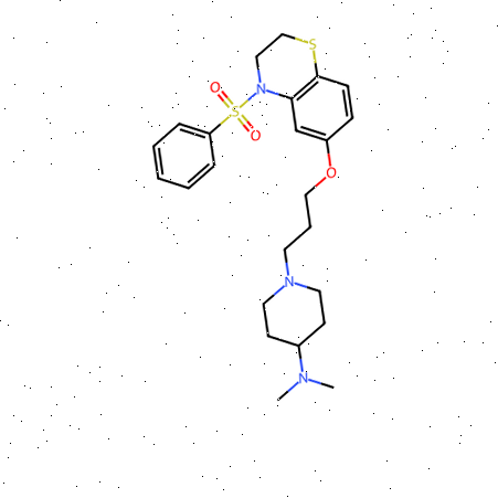 CN(C)C1CCN(CCCOc2ccc3c(c2)N(S(=O)(=O)c2ccccc2)CCS3)CC1